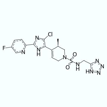 C[C@H]1CN(S(=O)(=O)NCc2nnn[nH]2)CC=C1c1[nH]c(-c2ccc(F)cn2)nc1Cl